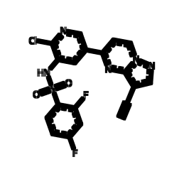 C#Cc1cnn2ccc(-c3cnc(Cl)c(NS(=O)(=O)c4ccc(F)cc4F)c3)nc12